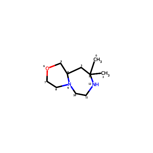 CC1(C)CC2COCCN2CCN1